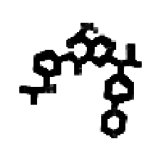 CC(=O)Nc1cccc(CNc2cc(N(C(C)=O)c3ccc(N4CCOCC4)cc3)ncc2C(N)=O)c1